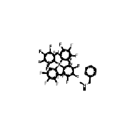 C[NH+](C)Cc1ccccc1.Fc1c(F)c(F)c([B-](c2c(F)c(F)c(F)c(F)c2F)(c2c(F)c(F)c(F)c(F)c2F)c2c(F)c(F)c(F)c(F)c2F)c(F)c1F